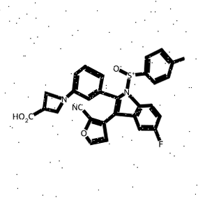 Cc1ccc([S+]([O-])n2c(-c3cccc(N4CC(C(=O)O)C4)c3)c(-c3ccoc3C#N)c3cc(F)ccc32)cc1